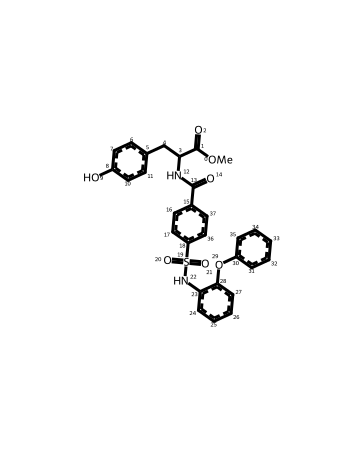 COC(=O)C(Cc1ccc(O)cc1)NC(=O)c1ccc(S(=O)(=O)Nc2ccccc2Oc2ccccc2)cc1